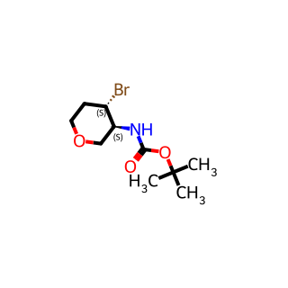 CC(C)(C)OC(=O)N[C@H]1COCC[C@@H]1Br